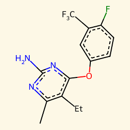 CCc1c(C)nc(N)nc1Oc1ccc(F)c(C(F)(F)F)c1